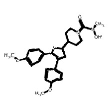 COc1ccc(C2=C(c3ccc(OC)cc3)SC(C3CCN(C(=O)N(C)O)CC3)C2)cc1